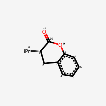 CC(C)[C@@H]1Cc2ccccc2OC1=O